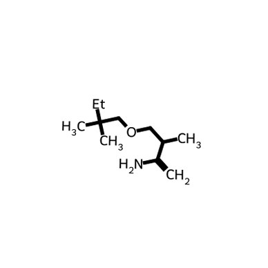 C=C(N)C(C)COCC(C)(C)CC